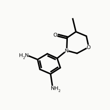 CC1COCN(c2cc(N)cc(N)c2)C1=O